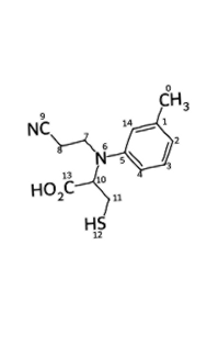 Cc1cccc(N(CCC#N)C(CS)C(=O)O)c1